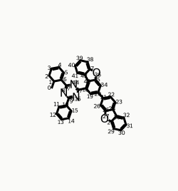 CC1CC=CC=C1c1nc(-c2ccccc2)nc(-c2cc(-c3ccc4c(c3)oc3ccccc34)cc3oc4ccccc4c23)n1